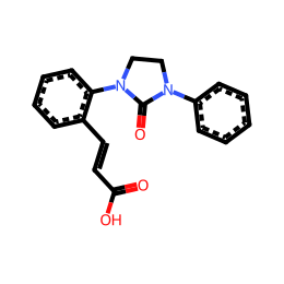 O=C(O)/C=C/c1ccccc1N1CCN(c2ccccc2)C1=O